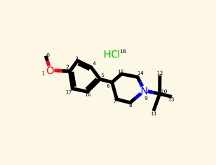 COc1ccc(C2CCN(C(C)(C)C)CC2)cc1.Cl